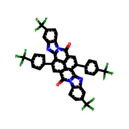 O=c1c2cc(-c3ccc(C(F)(F)F)cc3)c3c4c(cc(-c5ccc(C(F)(F)F)cc5)c(c24)c2nc4cc(C(F)(F)F)ccc4n12)c(=O)n1c2ccc(C(F)(F)F)cc2nc31